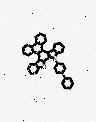 c1ccc(-c2ccc(-n3c4ccccc4c4c5c6ccccc6c6ccccc6c5c5c6ccccc6oc5c43)cc2)cc1